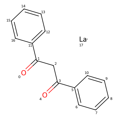 O=C(CC(=O)c1ccccc1)c1ccccc1.[La]